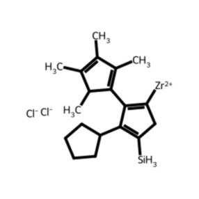 CC1=C(C)C(C)C(C2=[C]([Zr+2])CC([SiH3])=C2C2CCCC2)=C1C.[Cl-].[Cl-]